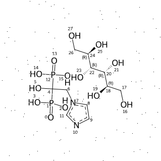 O=P(O)(O)C(O)(Cn1ccnc1)P(=O)(O)O.OC[C@@H](O)[C@@H](O)[C@H](O)[C@H](O)CO